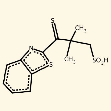 CC(C)(CS(=O)(=O)O)C(=S)c1nc2ccccc2s1